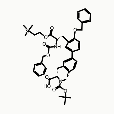 CN(C(=O)OC(C)(C)C)[C@@H](Cc1cc(-c2ccc(OCc3ccccc3)c(C[C@H](NC(=O)OCc3ccccc3)C(=O)OCC[Si](C)(C)C)c2)ccc1F)C(=O)O